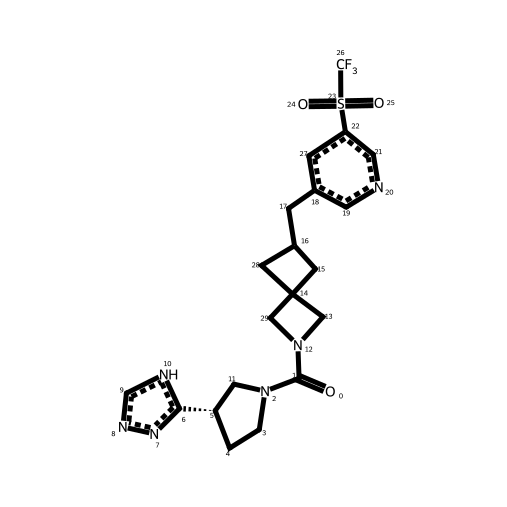 O=C(N1CC[C@H](c2nnc[nH]2)C1)N1CC2(CC(Cc3cncc(S(=O)(=O)C(F)(F)F)c3)C2)C1